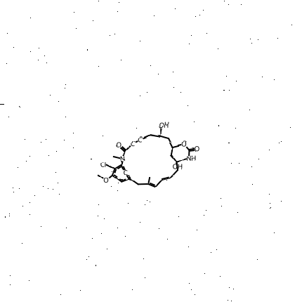 COc1cc2cc(c1Cl)N(C)C(=O)CCC[C@@H](O)CC1C[C@](O)(C/C=C/C=C(\C)C2)NC(=O)O1